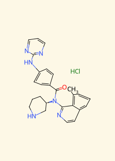 Cc1cccc2ccnc(N(C(=O)c3ccc(Nc4ncccn4)cc3)[C@@H]3CCCNC3)c12.Cl